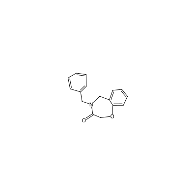 O=C1COc2ccccc2CN1Cc1ccccc1